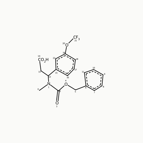 CN(C(=O)OCc1ccccc1)C(CC(=O)O)c1cccc(OC(F)(F)F)c1